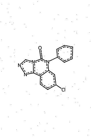 O=c1n(-c2ccccc2)c2cc(Cl)ccc2c2nncn12